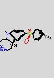 COc1ccc(S(=O)(=O)c2ccc3c(c2)[C@@H]2CCNCCC2N3C)cc1